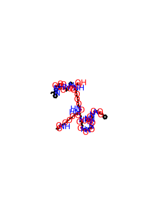 CCc1c2c(nc3ccccc13)-c1cc3c(c(=O)n1C2)COC(=O)[C@@]3(CC)OC(=O)[C@@H](NC(=O)[C@@H]1CCCN1C(=O)[C@H](CC(=O)O)NC(=O)CCOCCOCCOCCNC(=O)[C@H](CCCCNC(=O)CCCC(=O)N(C)CC(=O)N(C)CC(=O)N(C)CC(=O)N(C)CC(=O)N(C)CC(=O)N(C)CC(=O)N(C)CC(=O)N(C)CC(=O)OCc1ccccc1)NC(=O)CCOCCOCCOCCNC(=O)OC(C)(C)C)C(C)C